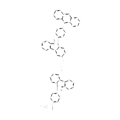 Cc1c2ccccc2c(-c2ccc(-n3c4ccccc4c4cc(CCCc5cccc6c5c5ccccc5n6-c5ccc(C(C)(C)C)cc5)ccc43)cc2)c2ccccc12